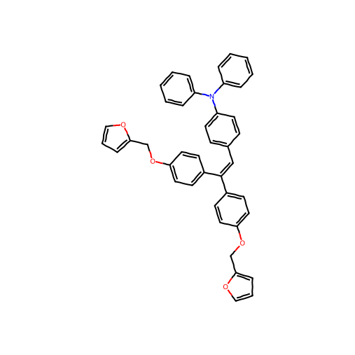 C(=C(c1ccc(OCc2ccco2)cc1)c1ccc(OCc2ccco2)cc1)c1ccc(N(c2ccccc2)c2ccccc2)cc1